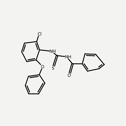 O=C(NC(=S)Nc1c(Cl)cccc1Oc1ccccc1)c1ccccc1